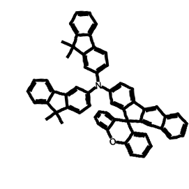 CC1(C)c2ccccc2-c2cc(N(c3ccc4c(c3)C(C)(C)c3ccccc3-4)c3ccc4c(c3)C3(c5ccccc5Oc5ccccc53)c3cc5ccccc5cc3-4)ccc21